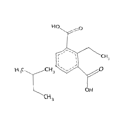 CCC(C)C.CCc1c(C(=O)O)cccc1C(=O)O